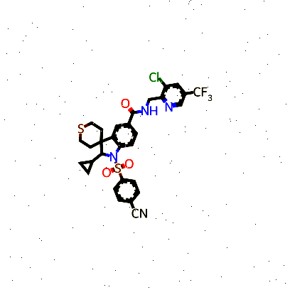 N#Cc1ccc(S(=O)(=O)N2c3ccc(C(=O)NCc4ncc(C(F)(F)F)cc4Cl)cc3C3(CCSCC3)C2C2CC2)cc1